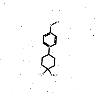 CCOc1ccc(C2CCC(N)(C(=O)O)CC2)cc1